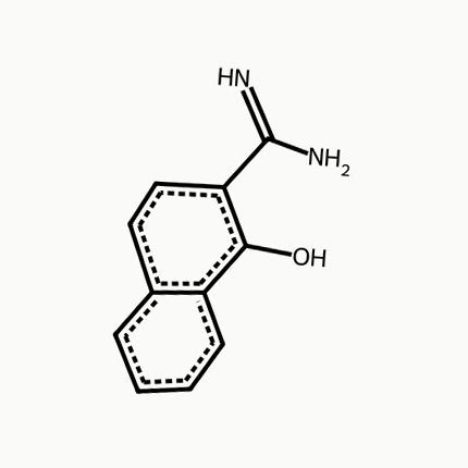 N=C(N)c1ccc2ccccc2c1O